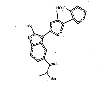 CCCCc1nc2ccc(C(=O)N(C)CCCC)cc2n1-c1ccc(-c2ccccc2C(=O)O)c(C)c1